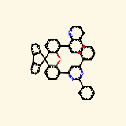 c1ccc(-c2cc(-c3cccc4c3Oc3c(-c5cccc6cccnc56)cccc3C43c4ccccc4-c4ccccc43)nc(-c3ccccc3)n2)cc1